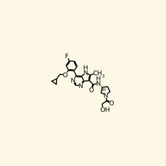 Cc1[nH]c2c(-c3ccc(F)cc3OCC3CC3)ncnc2c1C(=O)N[C@@H]1CCN(C(=O)CO)C1